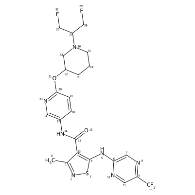 Cc1nsc(Nc2cnc(C(F)(F)F)cn2)c1C(=O)Nc1ccc(OC2CCCN(C(CF)CF)C2)nc1